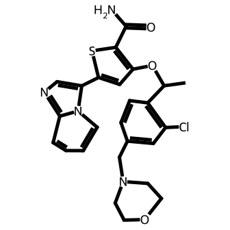 CC(Oc1cc(-c2cnc3ccccn23)sc1C(N)=O)c1ccc(CN2CCOCC2)cc1Cl